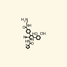 Cl.N#Cc1c(-c2ccc(C(=O)NCCN)cc2)cc(-c2ccccc2O)nc1NC(=O)c1cccs1